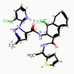 CC(NC(=O)C1=CC2=CC=CCC2C(Cl)C1NC(=O)c1cc(C(F)(F)F)nn1-c1ncccc1Cl)c1cccs1